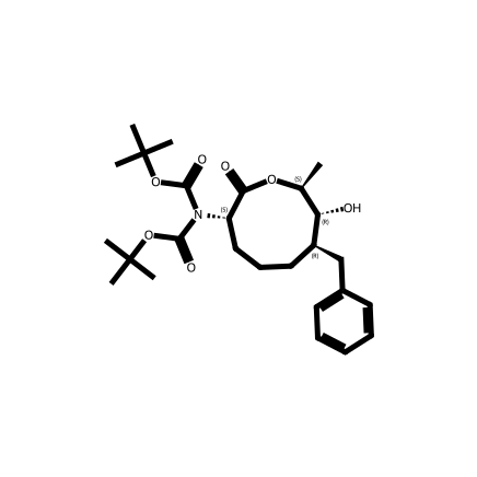 C[C@@H]1OC(=O)[C@@H](N(C(=O)OC(C)(C)C)C(=O)OC(C)(C)C)CCC[C@H](Cc2ccccc2)[C@H]1O